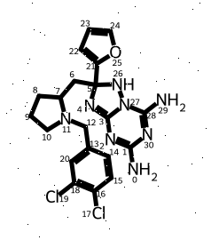 NC1=NC2=NC(CC3CCCN3Cc3ccc(Cl)c(Cl)c3)(c3ccco3)NN2C(N)=N1